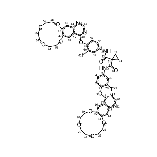 O=C(Nc1ccc(Oc2ncnc3cc4c(cc23)OCCOCCOCCO4)c(F)c1)C1(C(=O)Nc2ccc(Oc3ncnc4cc5c(cc34)OCCOCCOCCO5)c(F)c2)CC1